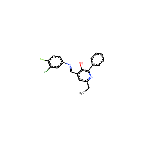 CCc1cc(/C=N/c2ccc(F)c(Cl)c2)c(O)c(-c2ccccc2)n1